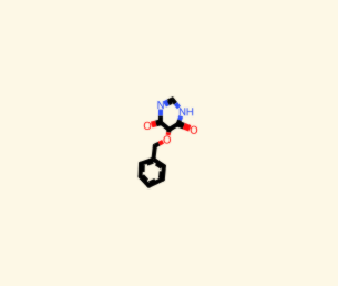 O=C1N=CNC(=O)C1OCc1ccccc1